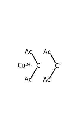 CC(=O)[CH-]C(C)=O.CC(=O)[CH-]C(C)=O.[Cu+2]